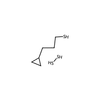 SCCCC1CC1.SS